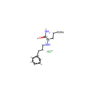 CSCC[C@@H](NCCCc1ccccc1)C(N)=O.Cl